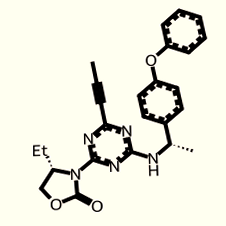 CC#Cc1nc(N[C@@H](C)c2ccc(Oc3ccccc3)cc2)nc(N2C(=O)OC[C@@H]2CC)n1